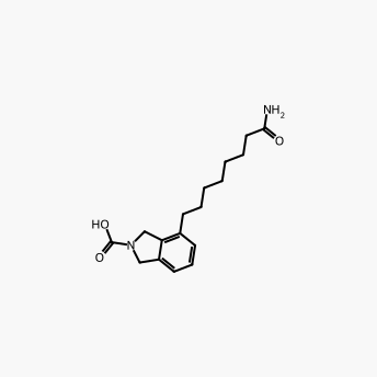 NC(=O)CCCCCCCc1cccc2c1CN(C(=O)O)C2